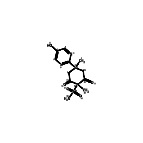 C[N+]1(c2ncc(O)cn2)CC(=O)[N+](C)(S(N)(=O)=O)C(=O)C1